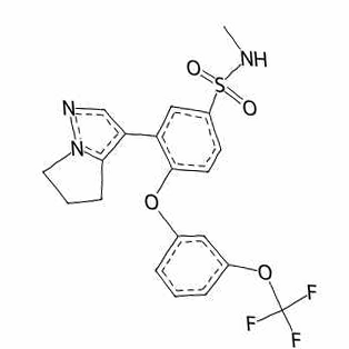 CNS(=O)(=O)c1ccc(Oc2cccc(OC(F)(F)F)c2)c(-c2cnn3c2CCC3)c1